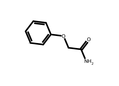 NC(=O)COc1c[c]ccc1